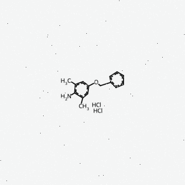 Cc1cc(OCc2ccccc2)cc(C)c1N.Cl.Cl